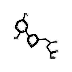 CNC(=O)CN(Cc1cccc(-c2cc(C(F)(F)F)ccc2O)c1)C(C)=O